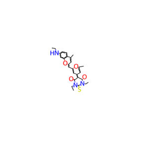 CCNc1ccc2c(c1)O/C(=C/C1=CC(=C3C(=O)N(CC)C(=S)N(CC)C3=O)C=C(C)O1)C=C2C